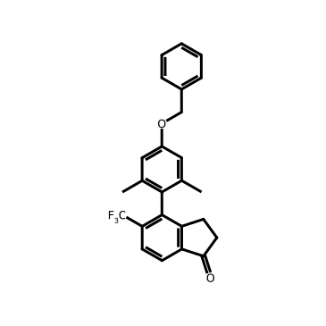 Cc1cc(OCc2ccccc2)cc(C)c1-c1c(C(F)(F)F)ccc2c1CCC2=O